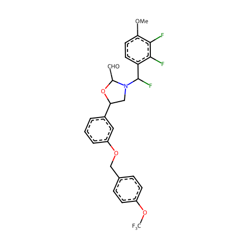 COc1ccc(C(F)N2CC(c3cccc(OCc4ccc(OC(F)(F)F)cc4)c3)OC2C=O)c(F)c1F